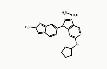 Cn1cc2ccc(-n3nnc4cnc(NC5CCCC5)nc43)cc2n1.NC(=O)O